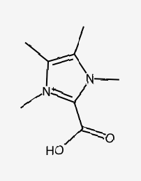 Cc1c(C)[n+](C)c(C(=O)O)n1C